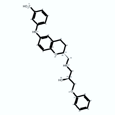 O=C(O)c1cccc(Nc2ccc3c(c2)CC[C@H](CNC[C@H](O)COc2ccccc2)O3)c1